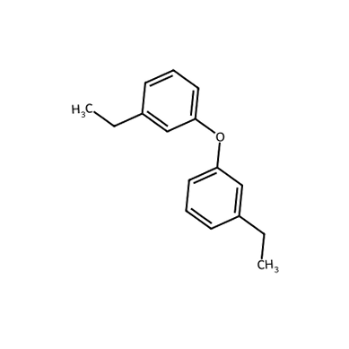 CCc1cccc(Oc2cccc(CC)c2)c1